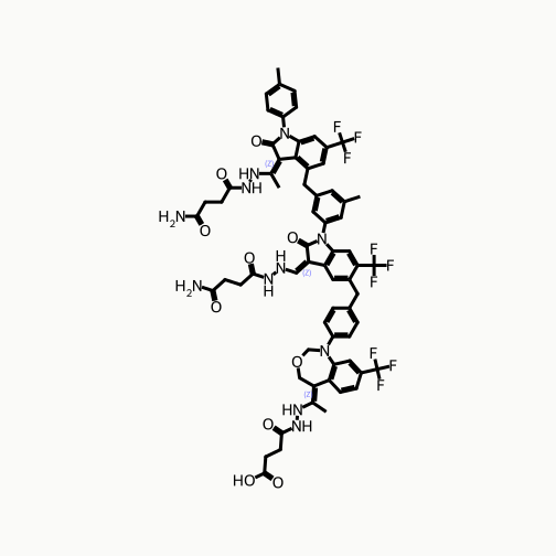 C/C(NNC(=O)CCC(=O)O)=C1/COCN(c2ccc(Cc3cc4c(cc3C(F)(F)F)N(c3cc(C)cc(Cc5cc(C(F)(F)F)cc6c5/C(=C(\C)NNC(=O)CCC(N)=O)C(=O)N6c5ccc(C)cc5)c3)C(=O)/C4=C\NNC(=O)CCC(N)=O)cc2)c2cc(C(F)(F)F)ccc21